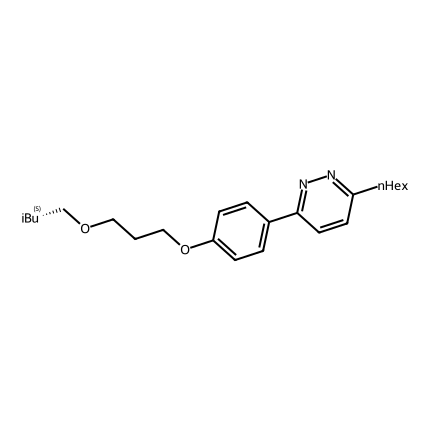 CCCCCCc1ccc(-c2ccc(OCCCOC[C@@H](C)CC)cc2)nn1